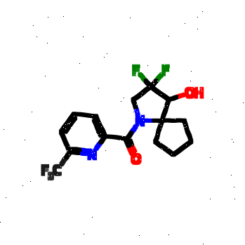 O=C(c1cccc(C(F)(F)F)n1)N1CC(F)(F)C(O)C12CCCC2